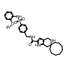 CC(C)Oc1ccccc1NS(=O)(=O)c1ccc(CNC(=O)c2cc3c([nH]2)CC2(CCCCCCCC2)NC3)cc1